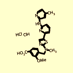 COc1cc(C(=O)O)ccc1CN(C)c1ncc(-c2cccc(Nc3cc(C)ccn3)n2)s1.Cl.Cl